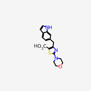 O=C(O)c1sc(N2CCOCC2)nc1Cc1ccc2cc[nH]c2c1